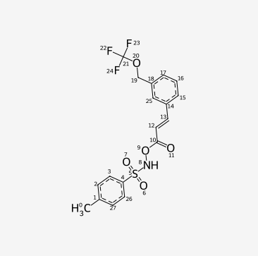 Cc1ccc(S(=O)(=O)NOC(=O)/C=C/c2cccc(COC(F)(F)F)c2)cc1